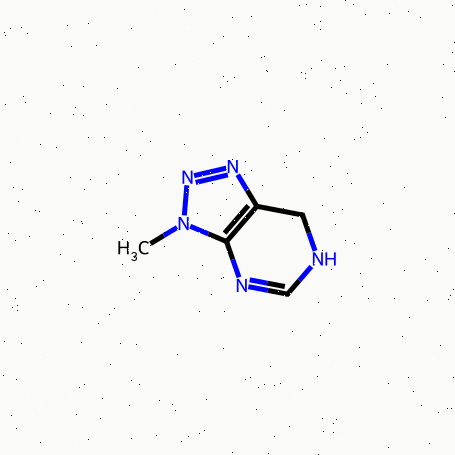 Cn1nnc2c1N=CNC2